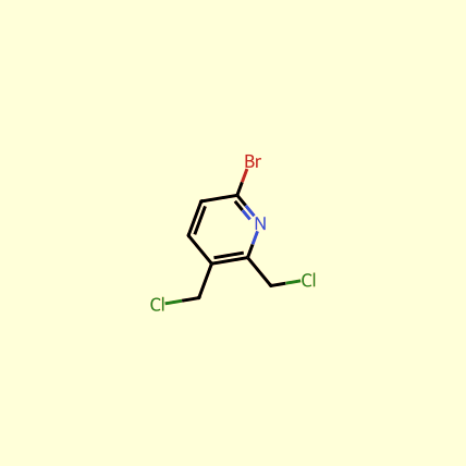 ClCc1ccc(Br)nc1CCl